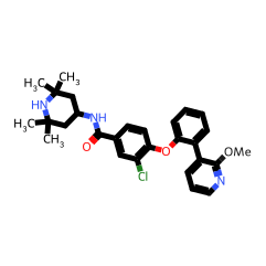 COc1ncccc1-c1ccccc1Oc1ccc(C(=O)NC2CC(C)(C)NC(C)(C)C2)cc1Cl